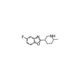 CC1CCC(c2nc3cc(F)ccc3o2)CN1